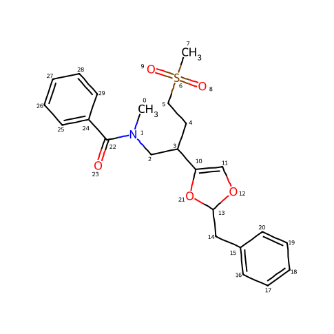 CN(CC(CCS(C)(=O)=O)C1=COC(Cc2ccccc2)O1)C(=O)c1ccccc1